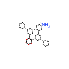 CN.c1ccc(-c2cc(-c3ccccc3)cc(-c3ccccc3-c3cc(-c4ccccc4)cc(-c4ccccc4)c3)c2)cc1